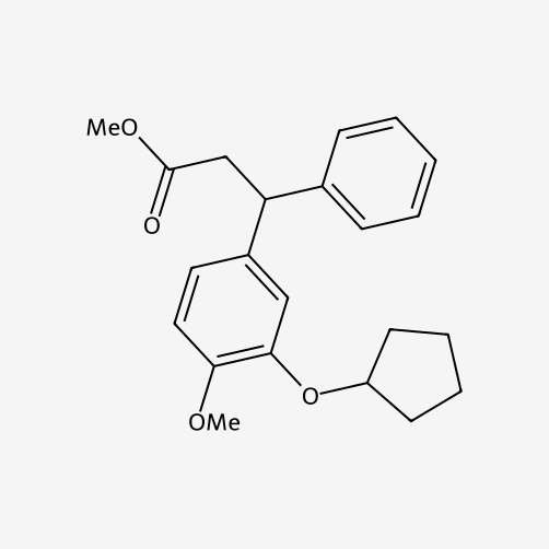 COC(=O)CC(c1ccccc1)c1ccc(OC)c(OC2CCCC2)c1